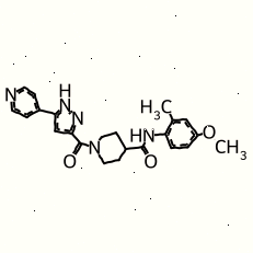 COc1ccc(NC(=O)C2CCN(C(=O)c3cc(-c4ccncc4)[nH]n3)CC2)c(C)c1